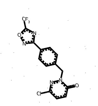 O=c1ccc(Cl)nn1Cc1ccc(-c2noc(C(F)(F)F)n2)cc1